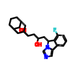 OC(CCC1CC2CCCC(C1)C2O)CC1c2c(F)cccc2-c2cncn21